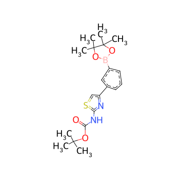 CC(C)(C)OC(=O)Nc1nc(-c2cccc(B3OC(C)(C)C(C)(C)O3)c2)cs1